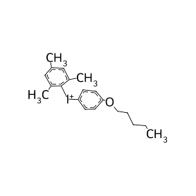 CCCCCOc1ccc([I+]c2c(C)cc(C)cc2C)cc1